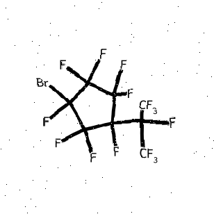 FC(F)(F)C(F)(C(F)(F)F)C1(F)C(F)(F)C(F)(F)C(F)(Br)C1(F)F